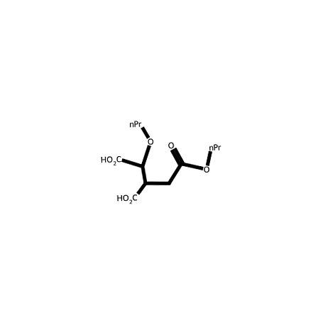 CCCOC(=O)CC(C(=O)O)C(OCCC)C(=O)O